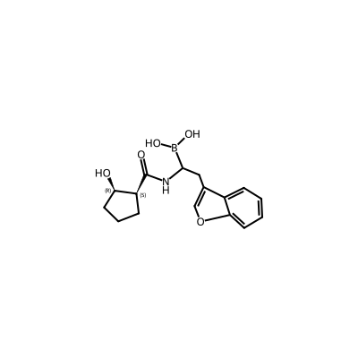 O=C(NC(Cc1coc2ccccc12)B(O)O)[C@H]1CCC[C@H]1O